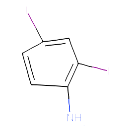 Nc1ccc(I)cc1I